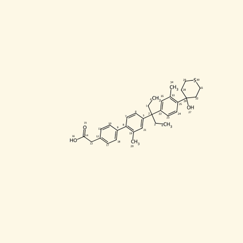 CCC(CC)(c1ccc(-c2ccc(CC(=O)O)cc2)c(C)c1)c1ccc(C2(O)CCSCC2)c(C)c1